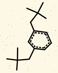 CC(C)(C)Cc1[c]ccc(CC(C)(C)C)c1